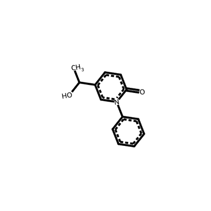 CC(O)c1ccc(=O)n(-c2ccccc2)c1